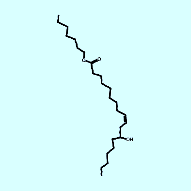 CCCCCCCOC(=O)CCCCCCC/C=C\CC(O)CCCCCC